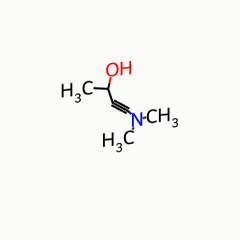 CC(O)C#CN(C)C